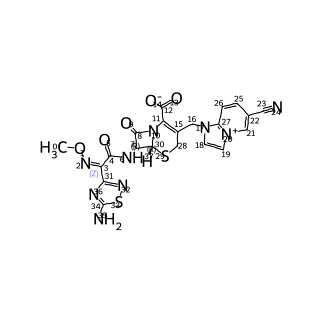 CO/N=C(\C(=O)N[C@@H]1C(=O)N2C(C(=O)[O-])=C(Cn3cc[n+]4cc(C#N)ccc34)CS[C@H]12)c1nsc(N)n1